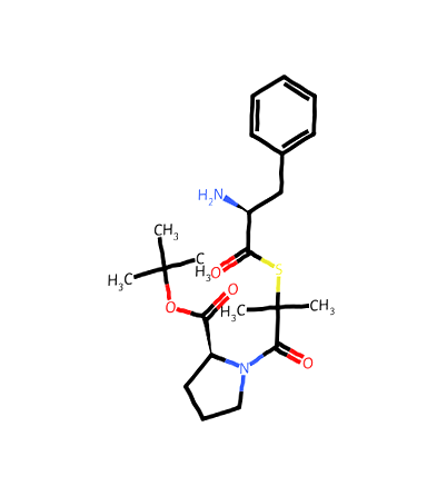 CC(C)(C)OC(=O)[C@@H]1CCCN1C(=O)C(C)(C)SC(=O)[C@@H](N)Cc1ccccc1